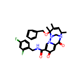 CC1=CC(C)N2CN(n3cc(C(=O)NCc4ccc(F)cc4F)c(=O)cc3C2=O)C1(C)OCc1ccccc1